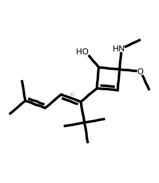 CNC1(OC)C=C(/C(=C/C=C(C)C)C(C)(C)C)C1O